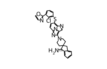 N[C@@H]1c2ccccc2CC12CCN(c1nc3ccc(Sc4cccc(-c5ncco5)c4Cl)c4ncc1n34)CC2